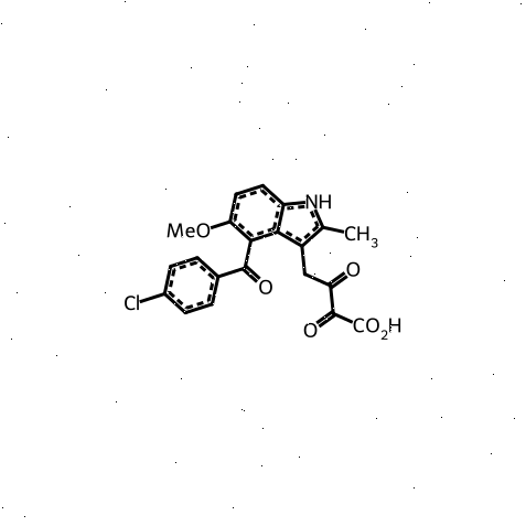 COc1ccc2[nH]c(C)c(CC(=O)C(=O)C(=O)O)c2c1C(=O)c1ccc(Cl)cc1